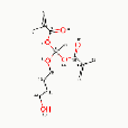 C=C(C)C(=O)OC(C)(OCCCCO)OC(=O)C(=C)C